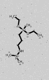 CCO[Si](C)(CCCN[SiH](C)C)OCC